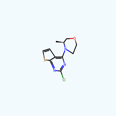 C[C@H]1COCCN1c1nc(Cl)nc2sccc12